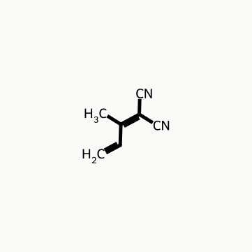 C=CC(C)=C(C#N)C#N